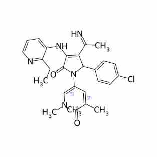 CCc1ncccc1NC1=C(C(C)=N)C(c2ccc(Cl)cc2)N(C(/C=C(/C)C=O)=C/N(C)C)C1=O